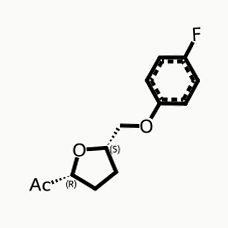 CC(=O)[C@H]1CC[C@@H](COc2ccc(F)cc2)O1